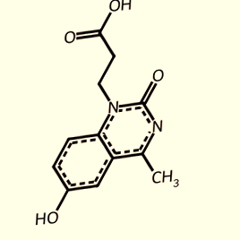 Cc1nc(=O)n(CCC(=O)O)c2ccc(O)cc12